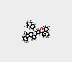 CC1(C)CCC(C)(C)c2cc(N(c3ccc4c(c3)C(C)(C)c3ccccc3-4)c3cc4c(cc3-c3ccccc3)C3(c5ccccc5O4)C4CC5CC(C4)C3C5)ccc21